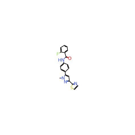 Cn1nc(-c2nccs2)cc1-c1ccc(NC(=O)c2ccccc2F)cc1